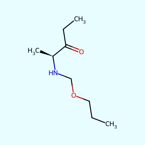 CCCOCN[C@@H](C)C(=O)CC